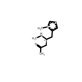 CN[C@H](CC(C)=O)Cc1cncn1C